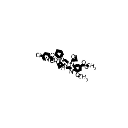 COC(=O)c1cc(OC)c2nc(CN3CCN(c4cccc5c4OC(C)(c4ccc(Cl)cn4)O5)[C@@H]4CC[C@H]43)n(C[C@@H]3CCO3)c2c1